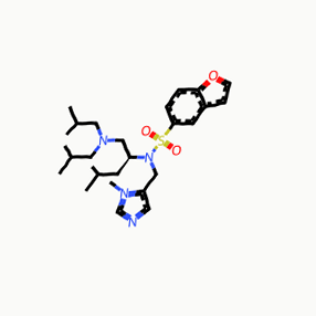 CC(C)C[C@@H](CN(CC(C)C)CC(C)C)N(Cc1cncn1C)S(=O)(=O)c1ccc2occc2c1